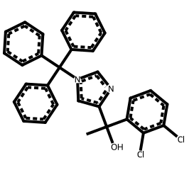 CC(O)(c1cn(C(c2ccccc2)(c2ccccc2)c2ccccc2)cn1)c1cccc(Cl)c1Cl